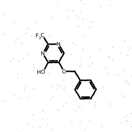 Oc1nc(C(F)(F)F)ncc1OCc1ccccc1